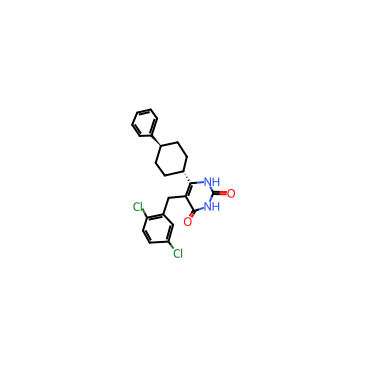 O=c1[nH]c(=O)c(Cc2cc(Cl)ccc2Cl)c([C@H]2CC[C@H](c3ccccc3)CC2)[nH]1